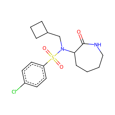 O=C1NCCCCC1N(CC1CCC1)S(=O)(=O)c1ccc(Cl)cc1